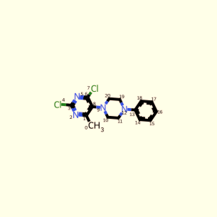 Cc1nc(Cl)nc(Cl)c1N1CCN(c2ccccc2)CC1